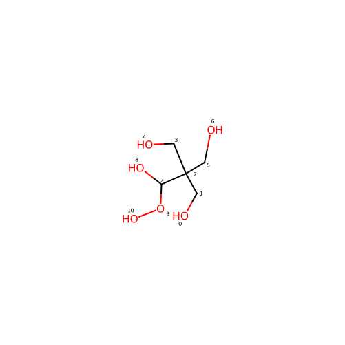 OCC(CO)(CO)C(O)OO